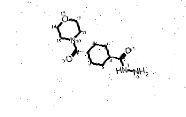 NNC(=O)[C@H]1CC[C@H](C(=O)N2CCOCC2)CC1